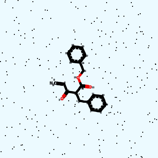 C=CC(=O)C(Cc1ccccc1)C(=O)OCc1ccccc1